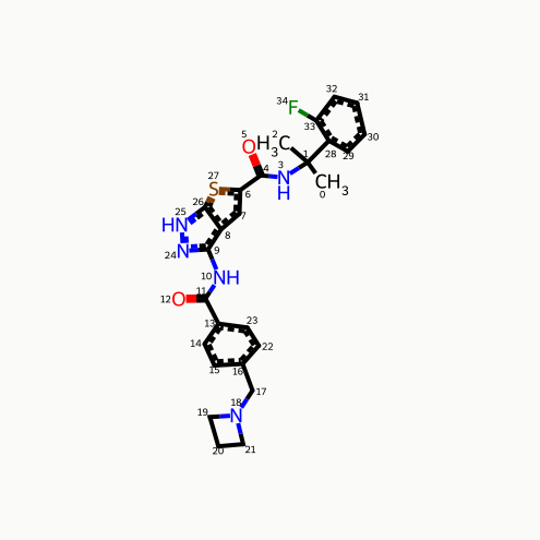 CC(C)(NC(=O)c1cc2c(NC(=O)c3ccc(CN4CCC4)cc3)n[nH]c2s1)c1ccccc1F